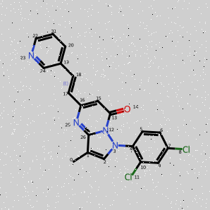 Cc1cn(-c2ccc(Cl)cc2Cl)n2c(=O)cc(/C=C/c3cccnc3)nc12